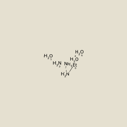 CCN.N.N.O.O.O